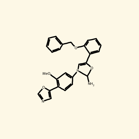 COc1cc(N2C=C(c3ccccc3OCc3ccccc3)OC2N)ccc1-c1cnco1